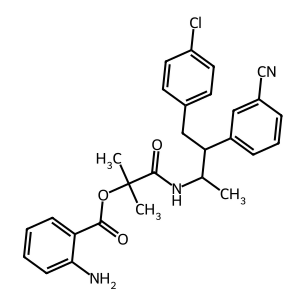 CC(NC(=O)C(C)(C)OC(=O)c1ccccc1N)C(Cc1ccc(Cl)cc1)c1cccc(C#N)c1